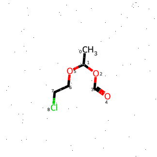 CC(O[C]=O)OCCCl